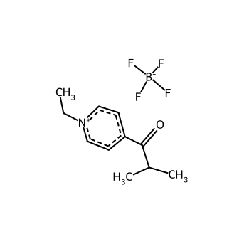 CC[n+]1ccc(C(=O)C(C)C)cc1.F[B-](F)(F)F